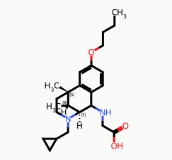 CCCCOc1ccc2c(c1)[C@@]1(C)CCN(CC3CC3)[C@H](C2NCC(=O)O)[C@@H]1C